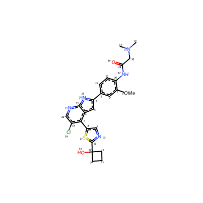 COc1cc(-c2cc3c(-c4cnc(C5(O)CCC5)s4)c(Cl)cnc3[nH]2)ccc1NC(=O)CN(C)C